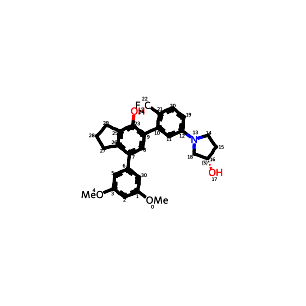 COc1cc(OC)cc(-c2cc(-c3cc(N4CC[C@H](O)C4)ccc3C(F)(F)F)c(O)c3c2CCC3)c1